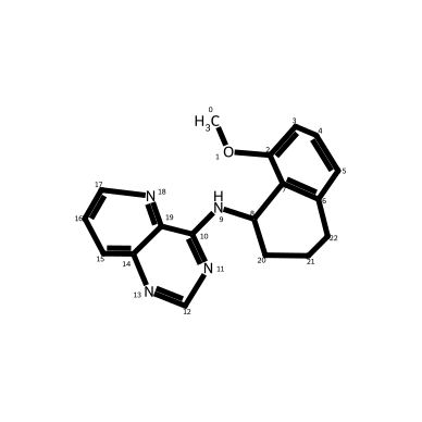 COc1cccc2c1C(Nc1ncnc3cccnc13)CCC2